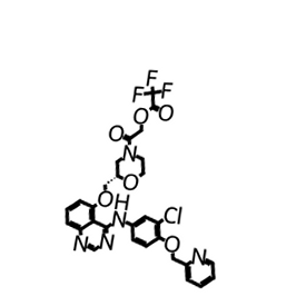 O=C(COC(=O)C(F)(F)F)N1CCO[C@H](COc2cccc3ncnc(Nc4ccc(OCc5ccccn5)c(Cl)c4)c23)C1